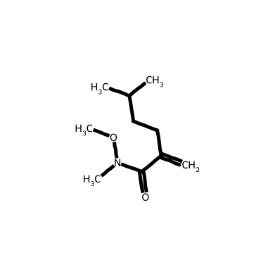 C=C(CCC(C)C)C(=O)N(C)OC